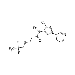 CCN(C(=O)CCSCC(F)(F)C(F)(F)F)c1cn(-c2cccnc2)nc1Cl